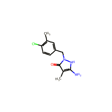 Cc1cc(Cn2[nH]c(N)c(C)c2=O)ccc1Cl